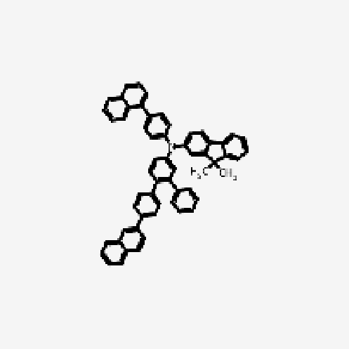 CC1(C)c2ccccc2-c2ccc(N(c3ccc(-c4cccc5ccccc45)cc3)c3ccc(-c4ccc(-c5ccc6ccccc6c5)cc4)c(-c4ccccc4)c3)cc21